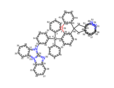 c1ccc([Si](c2ccccc2)(c2cccc(-n3c4ccccc4n4c5ccccc5nc34)c2)c2cccc3c2Oc2ccccc2C3(Cc2cccnc2)Cc2cccnc2)cc1